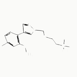 COc1cc(F)ccc1-c1cnn(COCC[Si](C)(C)C)c1